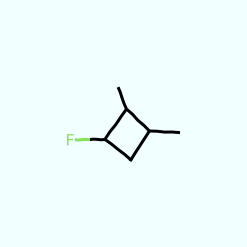 CC1CC(F)C1C